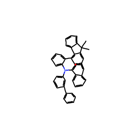 CC1(C)c2ccccc2-c2c(-c3ccccc3N(c3cccc(-c4ccccc4)c3)c3cccc4ccccc34)cccc21